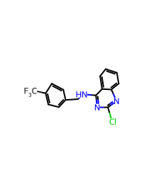 FC(F)(F)c1ccc(CNc2nc(Cl)nc3ccccc23)cc1